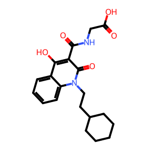 O=C(O)CNC(=O)c1c(O)c2ccccc2n(CCC2CCCCC2)c1=O